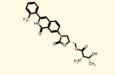 C[C@@H](O)[C@H](N)C(=O)OC[C@H]1CN(c2ccc3cc(-c4ccccc4C(F)(F)F)[nH]c(=O)c3c2)C(=O)O1